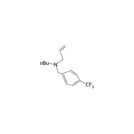 C=CCN(CCCC)Cc1ccc(C(F)(F)F)cc1